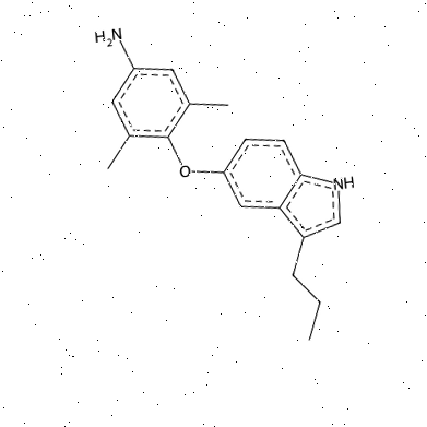 CCCc1c[nH]c2ccc(Oc3c(C)cc(N)cc3C)cc12